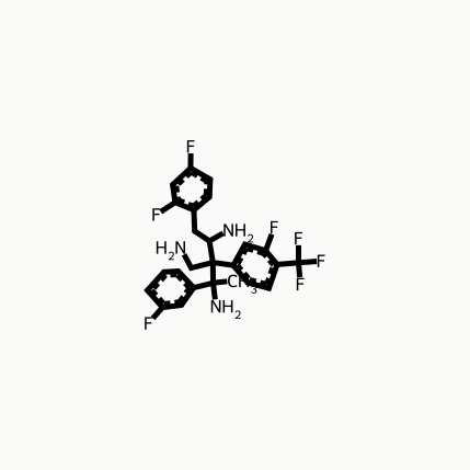 CC(N)(c1cccc(F)c1)C(CN)(c1ccc(C(F)(F)F)c(F)c1)C(N)Cc1ccc(F)cc1F